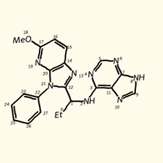 CCC(Nc1ncnc2[nH]cnc12)c1nc2ccc(OC)nc2n1-c1ccccc1